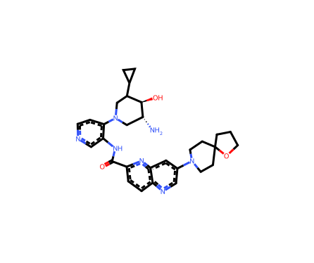 N[C@@H]1CN(c2ccncc2NC(=O)c2ccc3ncc(N4CCC5(CCCO5)CC4)cc3n2)CC(C2CC2)[C@H]1O